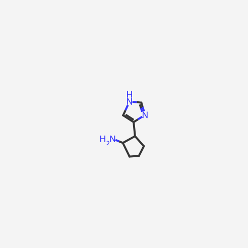 NC1CCCC1c1c[nH]cn1